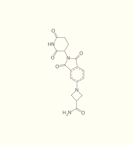 NC(=O)C1CN(c2ccc3c(c2)C(=O)N(C2CCC(=O)NC2=O)C3=O)C1